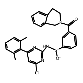 Cc1cccc(C)c1-c1cc(Cl)nc(N[S+]([O-])c2cccc(C(=O)N3CCc4ccccc4C3)c2)n1